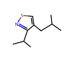 CC(C)Cc1csnc1C(C)C